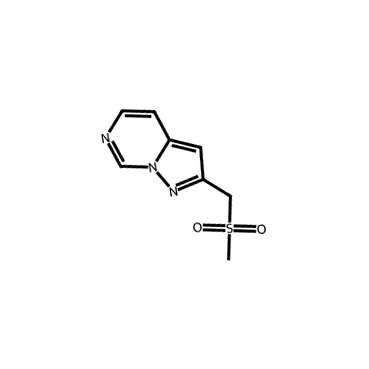 CS(=O)(=O)Cc1cc2ccncn2n1